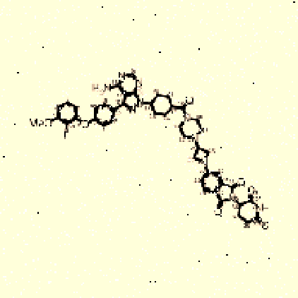 COc1cccc(Oc2ccc(-c3nn(C4CCC(C(=O)N5CCN(C6CN(c7ccc8c(c7)C(=O)N(C7CCC(=O)NC7=O)C8=O)C6)CC5)CC4)c4ncnc(N)c34)cc2)c1F